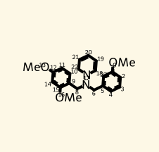 COc1cccc(CN(Cc2ccc(OC)cc2OC)N2C=CC=CC2)c1